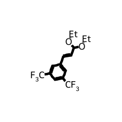 CCOC(C=Cc1cc(C(F)(F)F)cc(C(F)(F)F)c1)OCC